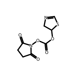 O=C(OC1CN=CS1)ON1C(=O)CCC1=O